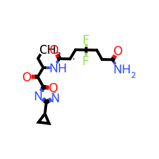 CCC(NC(=O)[CH]CC(F)(F)CCC(N)=O)C(=O)c1nc(C2CC2)no1